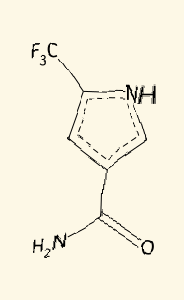 NC(=O)c1c[nH]c(C(F)(F)F)c1